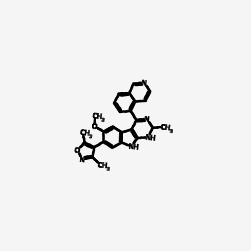 COc1cc2c3c([nH]c2cc1-c1c(C)noc1C)NC(C)N=C3c1cccc2cnccc12